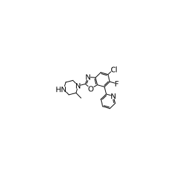 CC1CNCCN1c1nc2cc(Cl)c(F)c(-c3ccccn3)c2o1